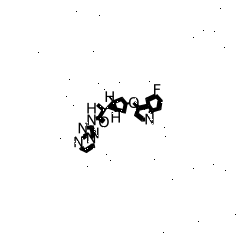 CC(C(=O)Nc1nc2ncccn2n1)[C@H]1[C@@H]2C[C@@H](Oc3ccnc4ccc(F)cc34)C[C@@H]21